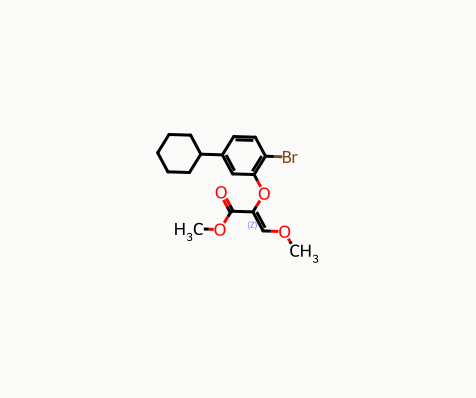 CO/C=C(\Oc1cc(C2CCCCC2)ccc1Br)C(=O)OC